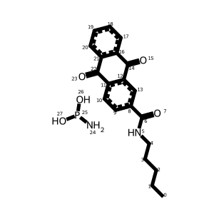 CCCCCNC(=O)c1ccc2c(c1)C(=O)c1ccccc1C2=O.NP(O)O